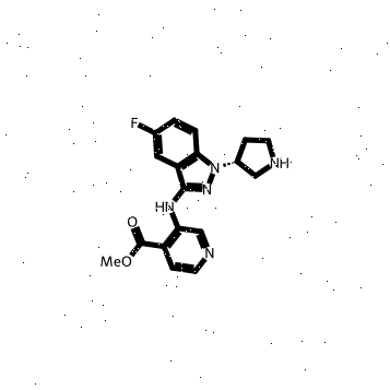 COC(=O)c1ccncc1Nc1nn([C@@H]2CCNC2)c2ccc(F)cc12